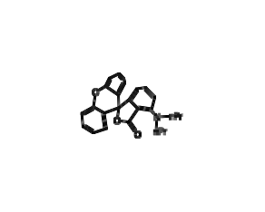 CCCN(CCC)c1cccc2c1C(=O)OC21c2ccccc2Oc2ccccc21